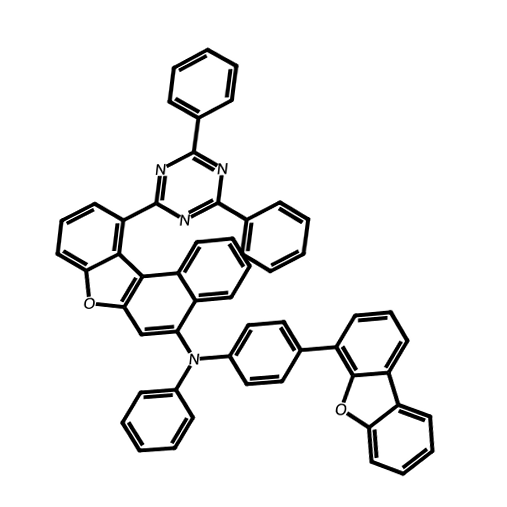 c1ccc(-c2nc(-c3ccccc3)nc(-c3cccc4oc5cc(N(c6ccccc6)c6ccc(-c7cccc8c7oc7ccccc78)cc6)c6ccccc6c5c34)n2)cc1